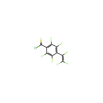 FC(F)=C(F)c1c(F)c(F)c(C(=S)Cl)c(F)c1F